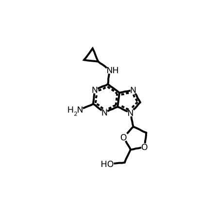 Nc1nc(NC2CC2)c2ncn(C3COC(CO)O3)c2n1